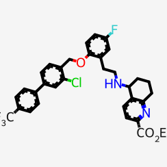 CCOC(=O)c1ccc2c(n1)CCCC2NCCc1cc(F)ccc1OCc1ccc(-c2ccc(C(F)(F)F)cc2)cc1Cl